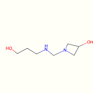 OCCCNCN1CC(O)C1